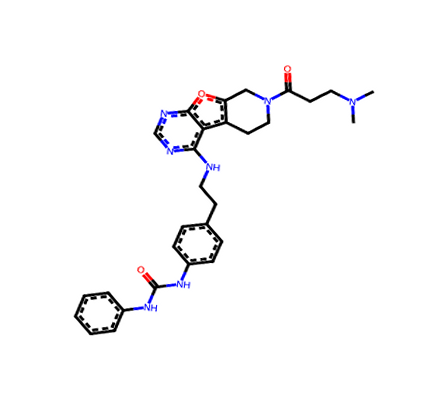 CN(C)CCC(=O)N1CCc2c(oc3ncnc(NCCc4ccc(NC(=O)Nc5ccccc5)cc4)c23)C1